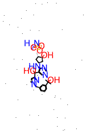 CC(C)(O)c1cccc(Cn2ccc(C(O)c3cncnc3N[C@@H]3C[C@H](COS(N)(=O)=O)[C@@H](O)C3)n2)c1